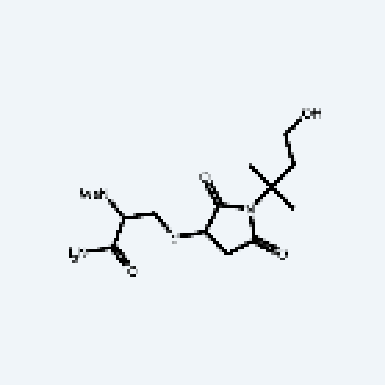 CNC(CSC1CC(=O)N(C(C)(C)CCO)C1=O)C(N)=O